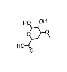 CO[C@H]1C[C@@H](C(=O)O)O[C@@H](O)[C@@H]1O